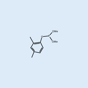 COP(OC)Oc1ccc(C)cc1C